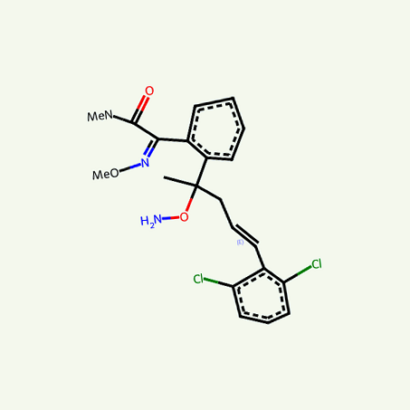 CNC(=O)C(=NOC)c1ccccc1C(C)(C/C=C/c1c(Cl)cccc1Cl)ON